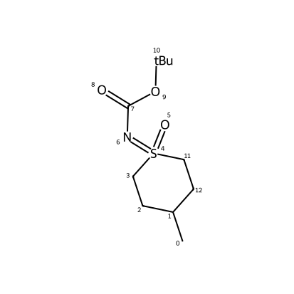 CC1CCS(=O)(=NC(=O)OC(C)(C)C)CC1